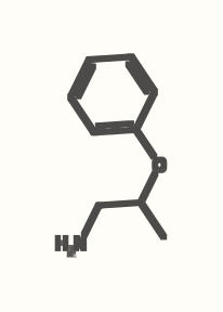 CC(CN)Oc1ccccc1